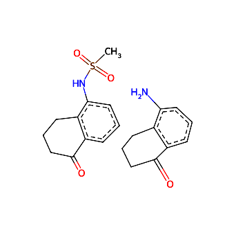 CS(=O)(=O)Nc1cccc2c1CCCC2=O.Nc1cccc2c1CCCC2=O